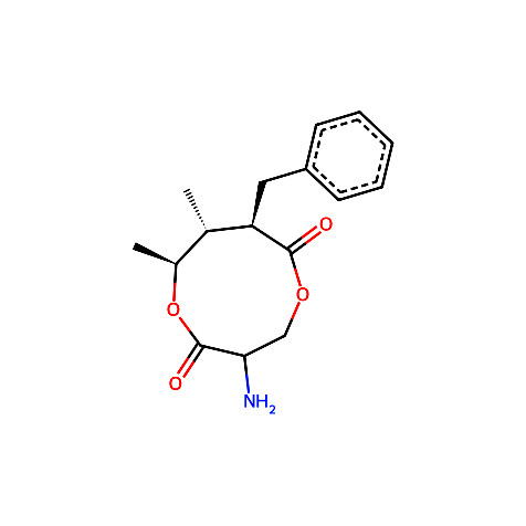 C[C@H]1[C@H](C)OC(=O)C(N)COC(=O)[C@@H]1Cc1ccccc1